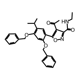 CCNC(=O)c1noc(-c2cc(C(C)C)c(OCc3ccccc3)cc2OCc2ccccc2)c1C(C)=O